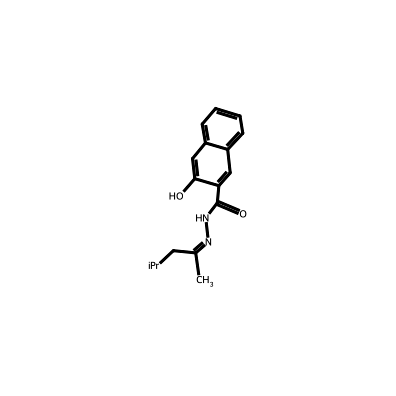 C/C(CC(C)C)=N/NC(=O)c1cc2ccccc2cc1O